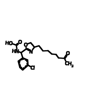 CC(=O)CCCCCCC1COC(C(NC(=O)O)c2cccc(Cl)c2)=N1